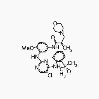 C=C(CN1CCOCC1)C(=O)Nc1ccc(OC)c(Nc2ncc(Cl)c(Nc3ccccc3P(C)(C)=O)n2)c1